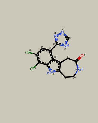 O=C1Cc2c([nH]c3c(Cl)c(Cl)cc(-c4nnc[nH]4)c23)CCN1